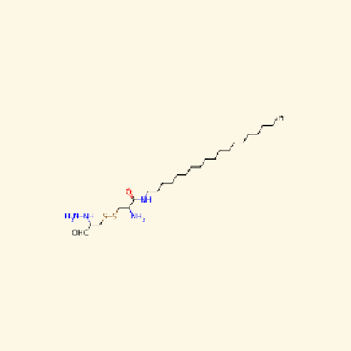 CC(C)CCCCCCCCCCCCCCCCCCNC(=O)C(N)CSSCC(C=O)NN